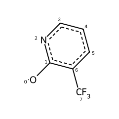 [O]c1ncccc1C(F)(F)F